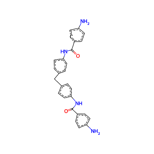 Nc1ccc(C(=O)Nc2ccc(Cc3ccc(NC(=O)c4ccc(N)cc4)cc3)cc2)cc1